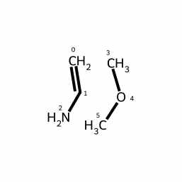 C=CN.COC